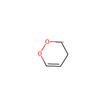 [C]1CC=COO1